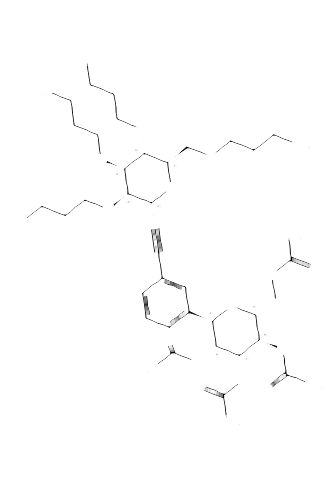 CCCCOC[C@H]1O[C@H](C#Cc2cccc([C@H]3O[C@H](COC(C)=O)[C@@H](OC(C)=O)[C@H](OC(C)=O)[C@@H]3OC(C)=O)c2)[C@@H](OCCCC)[C@@H](OCCCC)[C@@H]1OCCCC